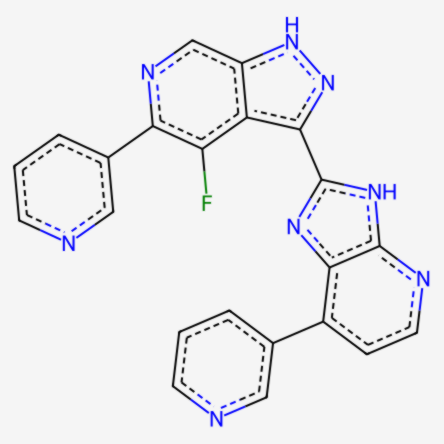 Fc1c(-c2cccnc2)ncc2[nH]nc(-c3nc4c(-c5cccnc5)ccnc4[nH]3)c12